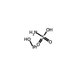 CC(C)O.NS(=O)(=O)O